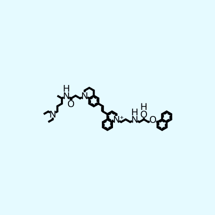 CCN(CC)CCCC(C)NC(=O)CCN1CCCc2cc(C=Cc3cc[n+](CCCNCC(O)COc4cccc5ccccc45)c4ccccc34)ccc21